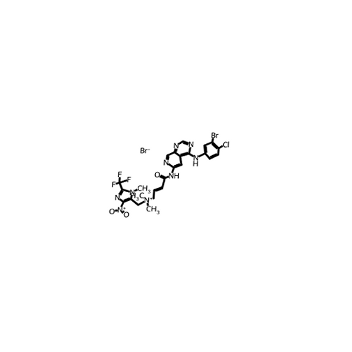 Cn1c(C(F)(F)F)nc([N+](=O)[O-])c1C[N+](C)(C)C/C=C/C(=O)Nc1cc2c(Nc3ccc(Cl)c(Br)c3)ncnc2cn1.[Br-]